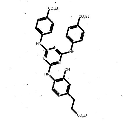 CCOC(=O)CCc1ccc(Nc2nc(Nc3ccc(C(=O)OCC)cc3)nc(Nc3ccc(C(=O)OCC)cc3)n2)c(O)c1